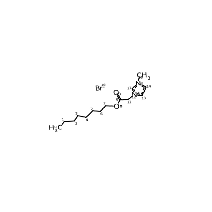 CCCCCCCCOC(=O)C[n+]1ccn(C)c1.[Br-]